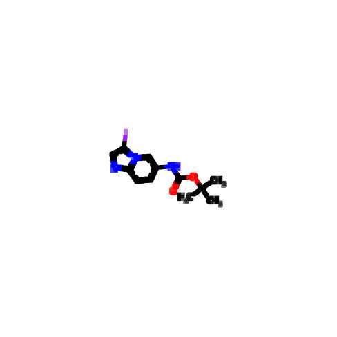 CC(C)(C)OC(=O)Nc1ccc2ncc(I)n2c1